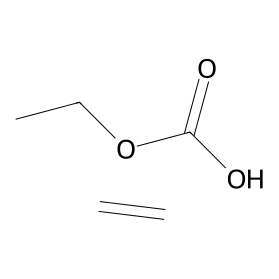 C=C.CCOC(=O)O